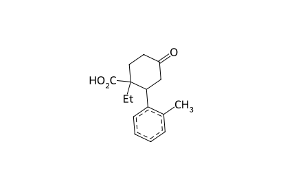 CCC1(C(=O)O)CCC(=O)CC1c1ccccc1C